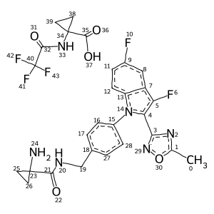 Cc1nc(-c2c(F)c3cc(F)ccc3n2-c2ccc(CNC(=O)C3(N)CC3)cc2)no1.O=C(NC1(C(=O)O)CC1)C(F)(F)F